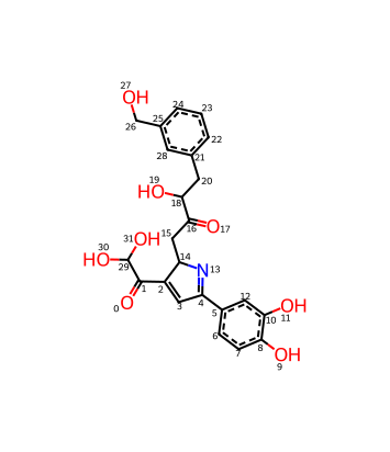 O=C(C1=CC(c2ccc(O)c(O)c2)=NC1CC(=O)C(O)Cc1cccc(CO)c1)C(O)O